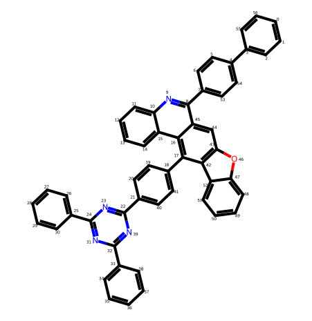 c1ccc(-c2ccc(-c3nc4ccccc4c4c(-c5ccc(-c6nc(-c7ccccc7)nc(-c7ccccc7)n6)cc5)c5c(cc34)oc3ccccc35)cc2)cc1